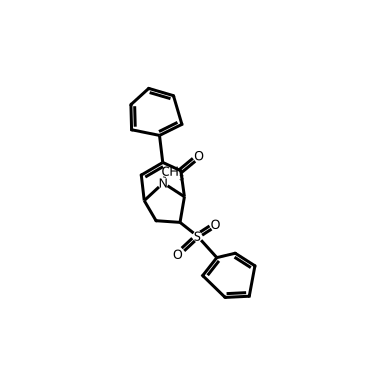 CN1C2C=C(c3ccccc3)C(=O)C1C(S(=O)(=O)c1ccccc1)C2